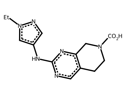 CCn1cc(Nc2ncc3c(n2)CN(C(=O)O)CC3)cn1